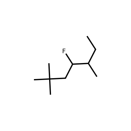 CCC(C)C(F)CC(C)(C)C